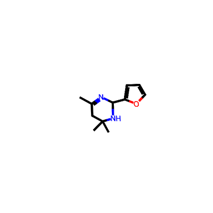 CC1=NC(c2ccco2)NC(C)(C)C1